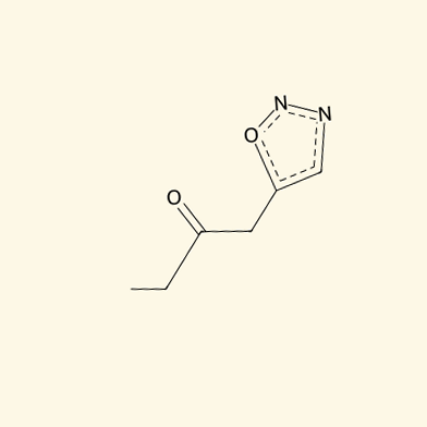 CCC(=O)Cc1cnno1